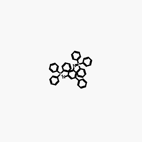 c1ccc(-c2cc(N=P(c3ccccc3)(c3ccccc3)c3ccccc3)cc(N=P(c3ccccc3)(c3ccccc3)c3ccccc3)c2)cc1